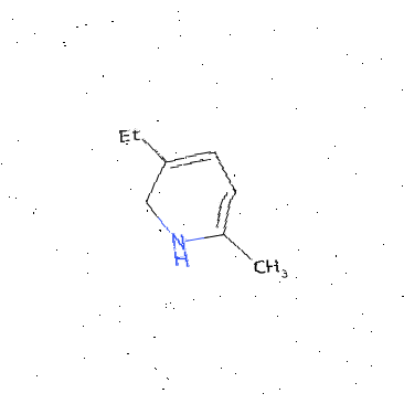 CCC1=CC=C(C)NC1